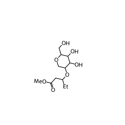 CCC(CC(=O)OC)OC1COC(CO)C(O)C1O